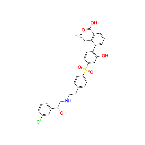 CCc1c(C(=O)O)cccc1-c1ccc(S(=O)(=O)c2ccc(CCNCC(O)c3cccc(Cl)c3)cc2)cc1O